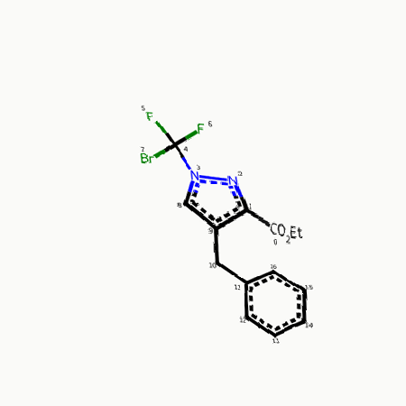 CCOC(=O)c1nn(C(F)(F)Br)cc1Cc1ccccc1